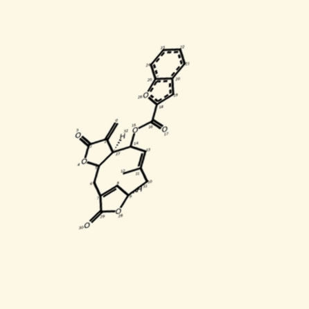 C=C1C(=O)OC2CC3=C[C@@H](C/C(C)=C/C(OC(=O)c4cc5ccccc5o4)[C@H]12)OC3=O